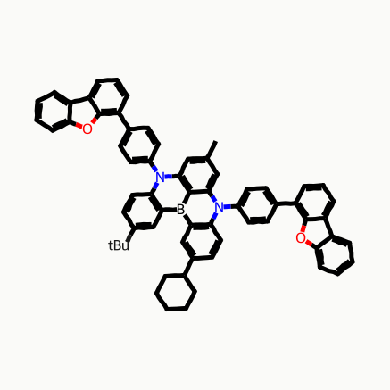 Cc1cc2c3c(c1)N(c1ccc(-c4cccc5c4oc4ccccc45)cc1)c1ccc(C(C)(C)C)cc1B3c1cc(C3CCCCC3)ccc1N2c1ccc(-c2cccc3c2oc2ccccc23)cc1